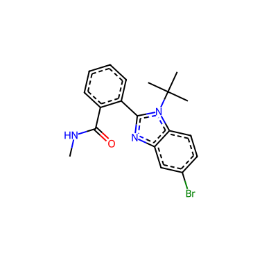 CNC(=O)c1ccccc1-c1nc2cc(Br)ccc2n1C(C)(C)C